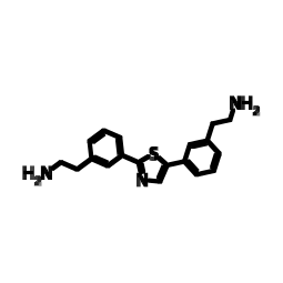 NCCc1cccc(-c2cnc(-c3cccc(CCN)c3)s2)c1